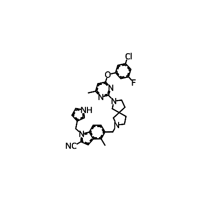 Cc1cc(Oc2cc(F)cc(Cl)c2)nc(N2CCC3(CCN(Cc4ccc5c(cc(C#N)n5Cc5cc[nH]c5)c4C)C3)C2)n1